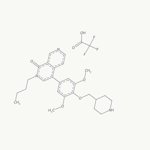 CCCCn1cc(-c2cc(OC)c(OCC3CCNCC3)c(OC)c2)c2ccncc2c1=O.O=C(O)C(F)(F)F